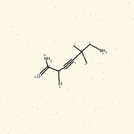 BCC(C)(C)C#CC(CC)C(N)=O